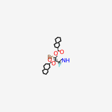 N=C[C@@H](F)[C@H](OC(=O)c1ccc2ccccc2c1)[C@@H](Br)COC(=O)c1ccc2ccccc2c1